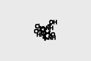 CC1C(=O)NCC(C)(C)c2[nH]c3c(Cl)c(Cl)cc(NCCO)c3c21